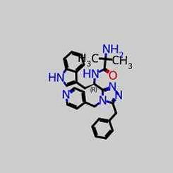 CC(C)(N)C(=O)N[C@H](Cc1c[nH]c2ccccc12)c1nnc(Cc2ccccc2)n1Cc1ccncc1